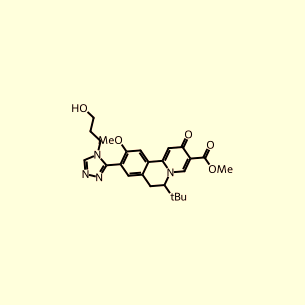 COC(=O)c1cn2c(cc1=O)-c1cc(OC)c(-c3nncn3CCCO)cc1CC2C(C)(C)C